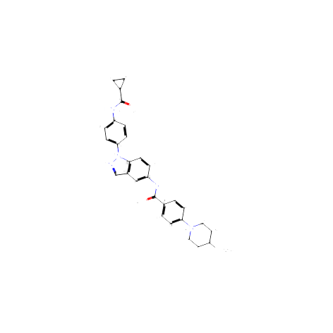 COC1CCN(c2ccc(C(=O)Nc3ccc4c(cnn4-c4ccc(NC(=O)C5CC5)cc4)c3)cc2)CC1